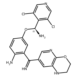 N=C(c1cnc2c(c1)NCCO2)c1cc(O[C@H](N)c2c(Cl)cncc2Cl)ccc1N